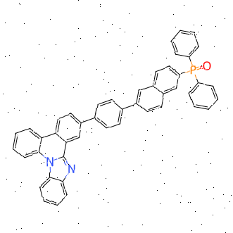 O=P(c1ccccc1)(c1ccccc1)c1ccc2cc(-c3ccc(-c4ccc5c6ccccc6n6c7ccccc7nc6c5c4)cc3)ccc2c1